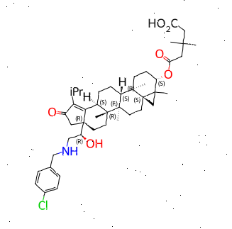 CC(C)C1=C2[C@H]3CC[C@@H]4[C@@]5(C)CC[C@H](OC(=O)CC(C)(C)CC(=O)O)C6(C)C[C@]65CC[C@@]4(C)[C@]3(C)CC[C@@]2([C@@H](O)CNCc2ccc(Cl)cc2)CC1=O